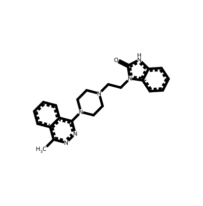 Cc1nnc(N2CCN(CCn3c(=O)[nH]c4ccccc43)CC2)c2ccccc12